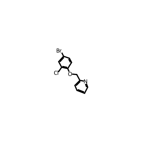 Clc1cc(Br)ccc1OCc1ccccn1